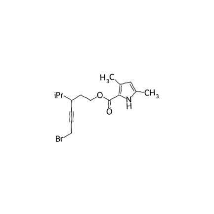 Cc1cc(C)c(C(=O)OCCC(C#CCBr)C(C)C)[nH]1